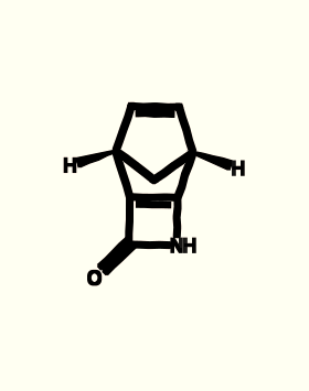 O=C1NC2=C1[C@@H]1C=C[C@H]2C1